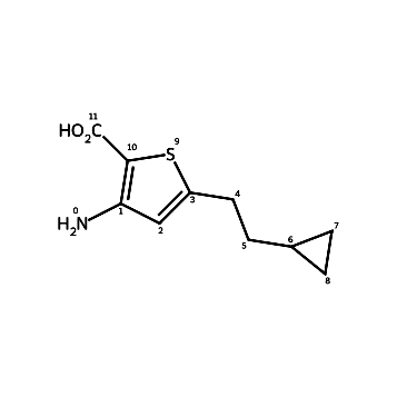 Nc1cc(CCC2CC2)sc1C(=O)O